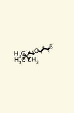 C[N+](C)(C)CCOCCCF